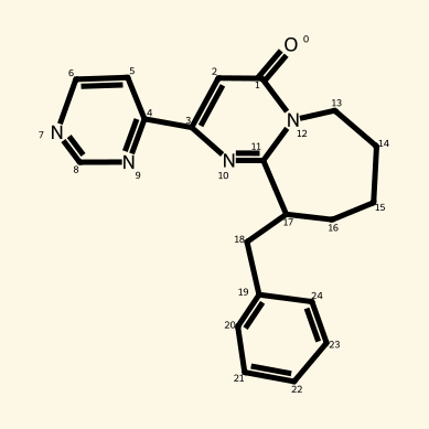 O=c1cc(-c2ccncn2)nc2n1CCCCC2Cc1ccccc1